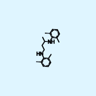 Cc1cccc(C)c1NCCC(C)Nc1c(C)cccc1C